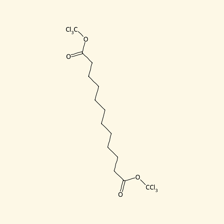 O=C(CCCCCCCCCCC(=O)OC(Cl)(Cl)Cl)OC(Cl)(Cl)Cl